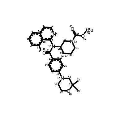 Cc1cccc2ccnc(N(C(=O)c3ccc(N4CCOC(C)(C)C4)cc3F)[C@@H]3CCCN(C(=O)OC(C)(C)C)C3)c12